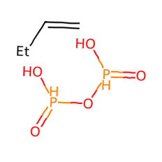 C=CCC.O=[PH](O)O[PH](=O)O